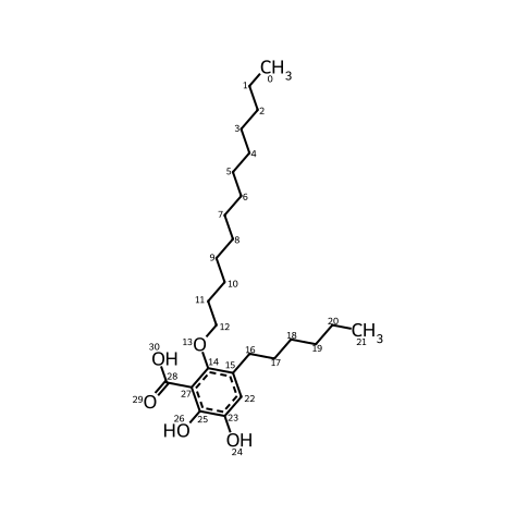 CCCCCCCCCCCCCOc1c(CCCCCC)cc(O)c(O)c1C(=O)O